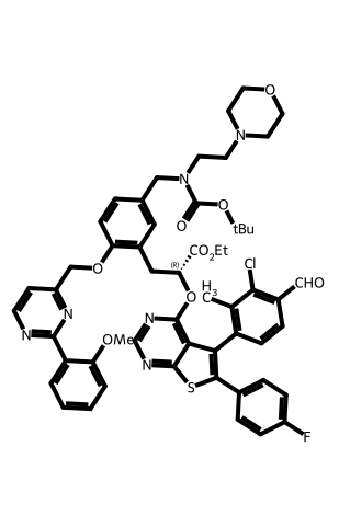 CCOC(=O)[C@@H](Cc1cc(CN(CCN2CCOCC2)C(=O)OC(C)(C)C)ccc1OCc1ccnc(-c2ccccc2OC)n1)Oc1ncnc2sc(-c3ccc(F)cc3)c(-c3ccc(C=O)c(Cl)c3C)c12